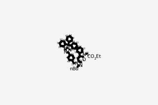 CCCCc1ncc(C=C2C(=O)N(CC(=O)OCC)c3ccccc32)n1Cc1ccc(-c2nnn(C(c3ccccc3)(c3ccccc3)c3ccccc3)n2)cc1